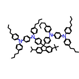 CCCCc1ccc(N(c2ccc(CCCC)cc2)c2ccc(N(c3ccc(CCCC)cc3)c3ccc(C4(c5ccc(N(c6ccc(CCCC)cc6)c6ccc(N(c7ccc(CCCC)cc7)c7ccc(CCCC)cc7)cc6)cc5)c5cc(C(C)C)ccc5-c5ccc(C(C)(C)C)cc54)cc3)cc2)cc1